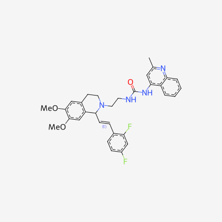 COc1cc2c(cc1OC)C(/C=C/c1ccc(F)cc1F)N(CCNC(=O)Nc1cc(C)nc3ccccc13)CC2